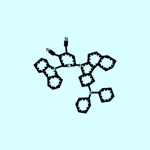 N#Cc1cc(-n2c3ccc(N(c4ccccc4)c4ccccc4)cc3c3c4ccccc4ccc32)cc(-n2c3ccccc3c3ccccc32)c1C#N